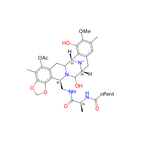 CCCCCC(=O)N[C@@H](C)C(=O)NC[C@H]1c2c(c(OC(C)=O)c(C)c3c2OCO3)CC2[C@@H]3c4c(cc(C)c(OC)c4O)C[C@H](C(O)N21)N3C